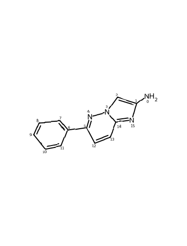 Nc1cn2nc(-c3ccccc3)ccc2n1